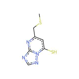 CSCc1cc(S)n2ncnc2n1